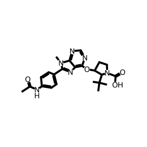 CC(=O)Nc1ccc(-c2nc3c(OC4CCN(C(=O)O)C4C(C)(C)C)ncnc3n2C)cc1